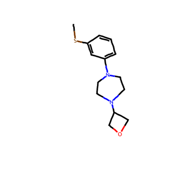 CSc1cccc(N2CCN(C3COC3)CC2)c1